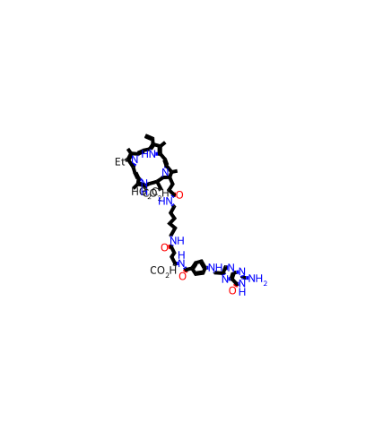 C=Cc1c2[nH]c(c1C)/C=C1\N=C(C(CC(=O)O)C3N/C(=C\C4=NC(=C\2)/C(C)=C4CC)C(C)=C3C(=O)O)C(CCC(=O)NCCCCCCNC(=O)CCC(NC(=O)c2ccc(NCc3cnc4nc(N)[nH]c(=O)c4n3)cc2)C(=O)O)C1C